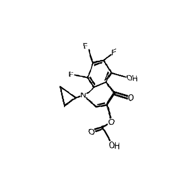 O=C(O)Oc1cn(C2CC2)c2c(F)c(F)c(F)c(O)c2c1=O